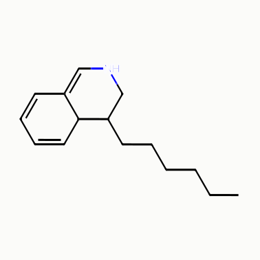 CCCCCCC1CNC=C2C=CC=CC21